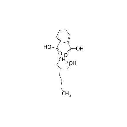 CCCCC(CC)CO.O=C(O)c1ccccc1C(=O)O